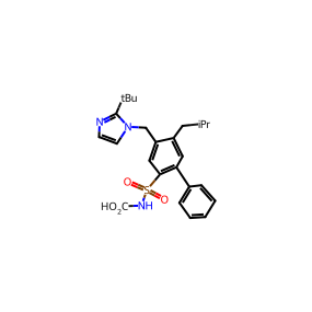 CC(C)Cc1cc(-c2ccccc2)c(S(=O)(=O)NC(=O)O)cc1Cn1ccnc1C(C)(C)C